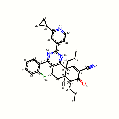 CCC[C@H]1C(=O)C(C#N)=C[C@@]2(CCC)c3nc(-c4ccnc(C5CC5)c4)nc(-c4ccccc4F)c3CC[C@H]12